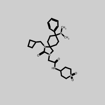 CN(C)C1(c2ccccc2)CCC2(CC1)CN(CC(=O)NC1CCS(=O)(=O)CC1)C(=O)N2CC1CCC1